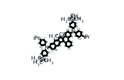 CC(C)c1ccc(N(c2ccc([Si](C)(C)C)cc2)c2ccc3cc4c(cc3c2)C(C)(C)c2c-4c3ccccc3c3cc(N(c4ccc(C(C)C)cc4)c4ccc([Si](C)(C)C)cc4)ccc23)cc1